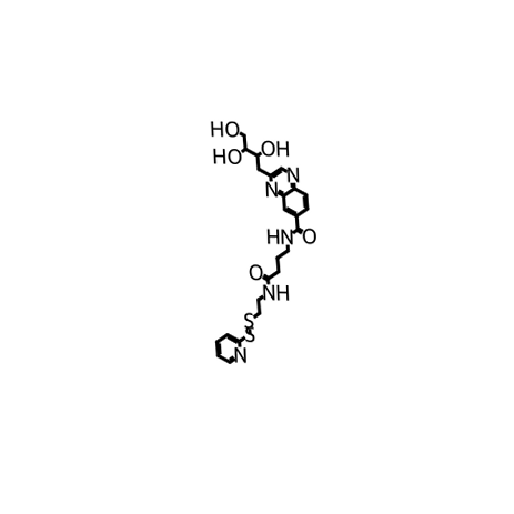 O=C(CCCNC(=O)c1ccc2ncc(CC(O)C(O)CO)nc2c1)NCCSSc1ccccn1